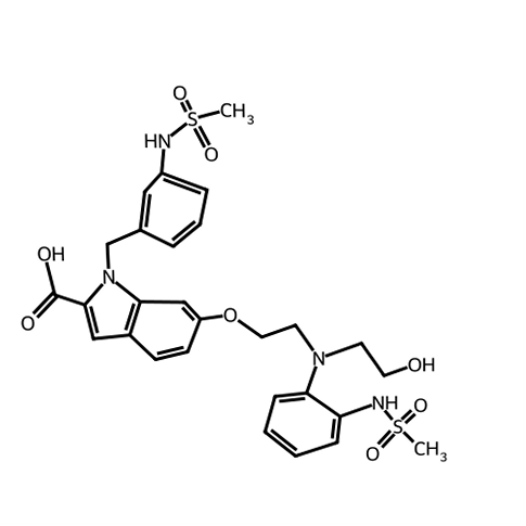 CS(=O)(=O)Nc1cccc(Cn2c(C(=O)O)cc3ccc(OCCN(CCO)c4ccccc4NS(C)(=O)=O)cc32)c1